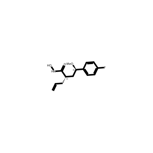 C=CC[C@@H](C[C@@H](OC)c1ccc(F)cc1)C(=O)NO